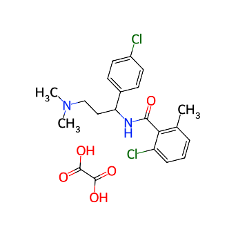 Cc1cccc(Cl)c1C(=O)NC(CCN(C)C)c1ccc(Cl)cc1.O=C(O)C(=O)O